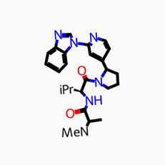 CNC(C)C(=O)N[C@H](C(=O)N1CCCC1c1ccnc(-n2cnc3ccccc32)c1)C(C)C